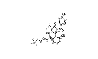 Cc1c(C2(C(=O)N[C@H](C)c3ncc(C#N)cn3)CC2)c(=O)n(COCC[Si](C)(C)C)c2cccc(C#N)c12